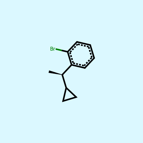 C[C@@H](c1ccccc1Br)C1CC1